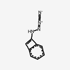 [N-]=[N+]=NNC1=Cc2ccccc21